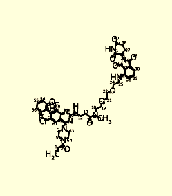 C=CC(=O)N1CCN(c2nc(NCCC(=O)N(C)CCOCCOCCNc3cccc4c3C(=O)N(C3CCC(=O)NC3=O)C4=O)nc3c(F)c(-c4c(O)cccc4F)c(Cl)cc23)CC1